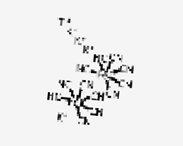 N#[C][Fe-4]([C]#N)([C]#N)([C]#N)([C]#N)[C]#N.N#[C][Fe-4]([C]#N)([C]#N)([C]#N)([C]#N)[C]#N.[K+].[K+].[K+].[K+].[Ti+4]